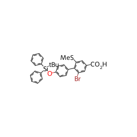 CSc1cc(C(=O)O)cc(Br)c1-c1ccc(O[Si](c2ccccc2)(c2ccccc2)C(C)(C)C)cc1